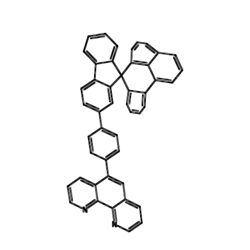 c1ccc2c(c1)-c1ccc(-c3ccc(-c4cc5cccnc5c5ncccc45)cc3)cc1C21c2ccccc2-c2cccc3cccc1c23